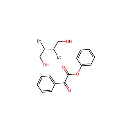 CCC(CO)C(CC)CO.O=C(Oc1ccccc1)C(=O)c1ccccc1